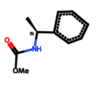 COC(=O)N[C@@H](C)c1ccccc1